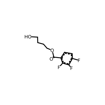 O=C(OCCCCO)c1ccc(F)c(F)c1F